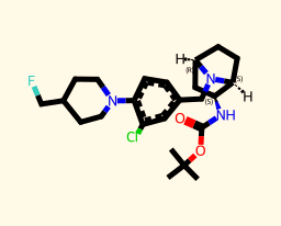 CC(C)(C)OC(=O)N[C@H]1C[C@H]2CC[C@@H]1N2Cc1ccc(N2CCC(CF)CC2)c(Cl)c1